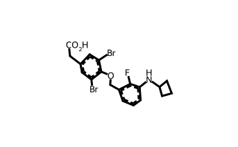 O=C(O)Cc1cc(Br)c(OCc2cccc(NC3CCC3)c2F)c(Br)c1